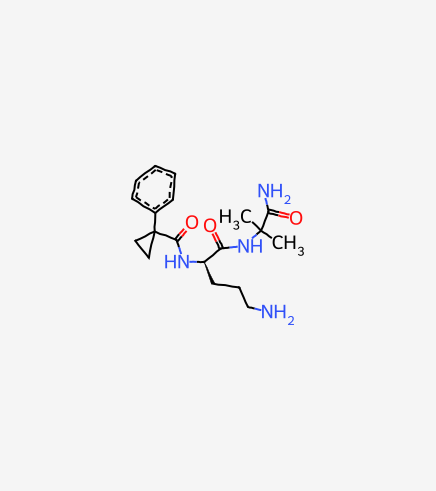 CC(C)(NC(=O)[C@@H](CCCN)NC(=O)C1(c2ccccc2)CC1)C(N)=O